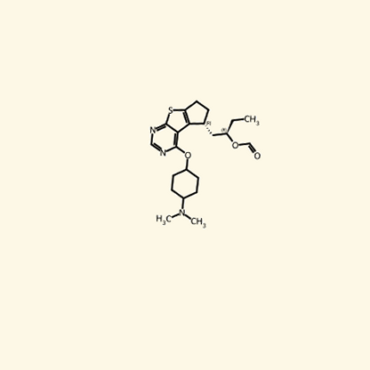 CC[C@H](C[C@H]1CCc2sc3ncnc(OC4CCC(N(C)C)CC4)c3c21)OC=O